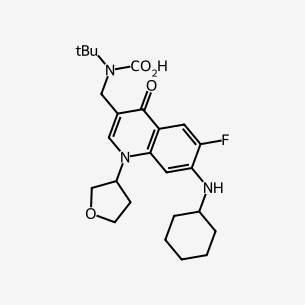 CC(C)(C)N(Cc1cn(C2CCOC2)c2cc(NC3CCCCC3)c(F)cc2c1=O)C(=O)O